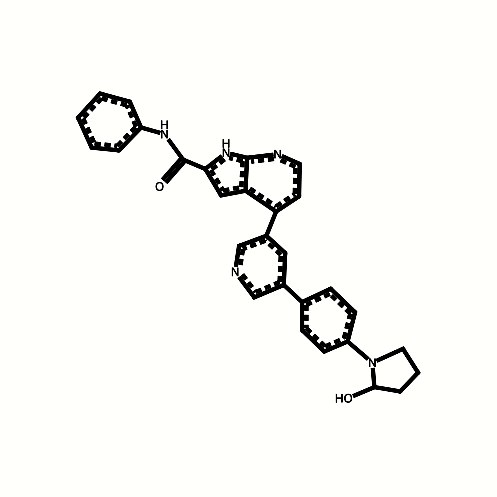 O=C(Nc1ccccc1)c1cc2c(-c3cncc(-c4ccc(N5CCCC5O)cc4)c3)ccnc2[nH]1